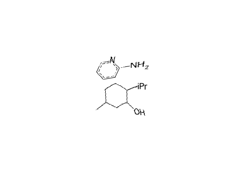 CC1CCC(C(C)C)C(O)C1.Nc1ccccn1